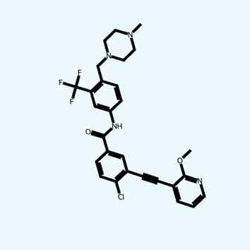 COc1ncccc1C#Cc1cc(C(=O)Nc2ccc(CN3CCN(C)CC3)c(C(F)(F)F)c2)ccc1Cl